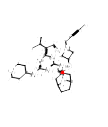 CC#CCN1CC(OC(=O)N2C3CCC2CC(Nc2nc(NC4CCOCC4)nc4c(C(C)C)cnn24)C3)C1